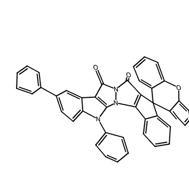 O=c1c2c(n3c4c(c(=O)n13)c1cc(-c3ccccc3)ccc1n4-c1ccccc1)-c1ccccc1C21c2ccccc2Oc2ccccc21